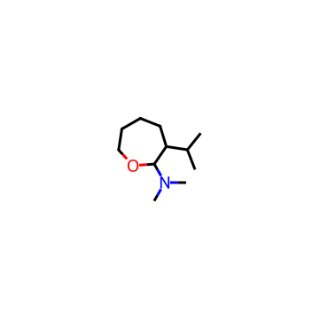 CC(C)C1CCCCOC1N(C)C